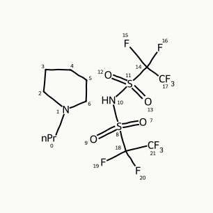 CCCN1CCCCC1.O=S(=O)(NS(=O)(=O)C(F)(F)C(F)(F)F)C(F)(F)C(F)(F)F